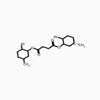 CC1CCC(C(C)C)C(OC(=O)CCC(=O)OC2C[C@@H](C)CCC2C(C)C)C1